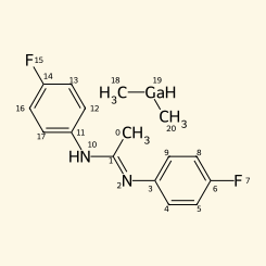 C/C(=N\c1ccc(F)cc1)Nc1ccc(F)cc1.[CH3][GaH][CH3]